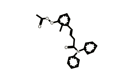 CC(=O)OOc1cccc(C=CCC(=O)N(c2ccccc2)c2ccccc2)c1C